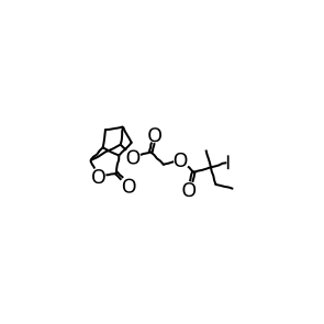 CCC(C)(I)C(=O)OCC(=O)OC1C2CC3C(=O)OC1C3C2